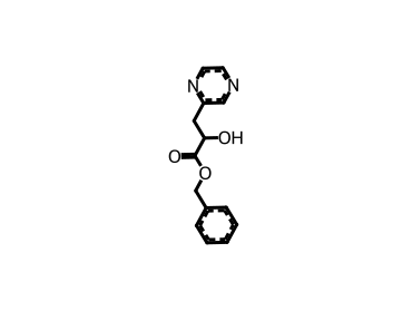 O=C(OCc1ccccc1)C(O)Cc1cnccn1